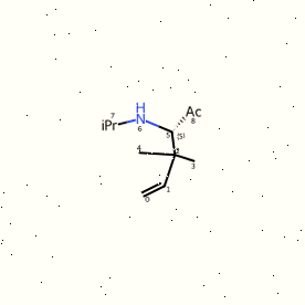 C=CC(C)(C)[C@H](NC(C)C)C(C)=O